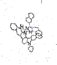 N/C(=C1/C=Cc2ccccc2/C1=N/Cn1c2cc3ccccc3cc2c2ccc3c(c4cc5ccccc5cc4n3-c3ccccc3)c21)c1ccc2ccccc2c1